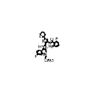 COCCNCc1nc(-c2nn(C3CCCCO3)cc2NC(=O)c2c(F)cccc2F)[nH]c1-c1ccc(F)cc1